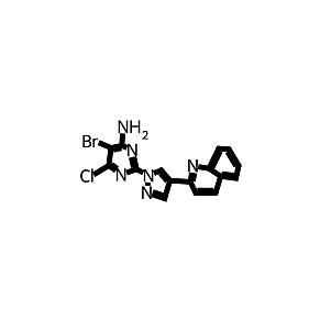 Nc1nc(-n2cc(-c3ccc4ccccc4n3)cn2)nc(Cl)c1Br